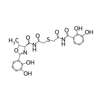 CC1OC(c2cccc(O)c2O)=N[C@@H]1C(=O)NC(=O)CSCC(=O)NC(=O)c1cccc(O)c1O